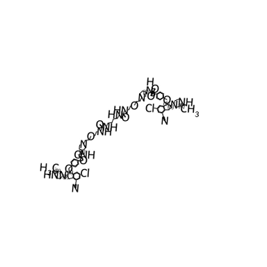 C[C@@H]1CN([C@H]2Cc3c(C#N)cc(Cl)cc3[C@@H]2Oc2ccc(S(=O)(=O)N[C@H]3CCN(CCOCCNC(=O)NCCCCNC(=O)NCCOCCN4CC[C@H](NS(=O)(=O)c5ccc(O[C@H]6c7cc(Cl)cc(C#N)c7C[C@@H]6N6CCN[C@H](C)C6)cc5)C4)C3)cc2)CCN1